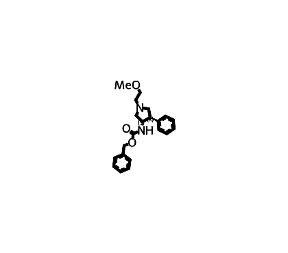 COCCN1C[C@@H](NC(=O)OCc2ccccc2)[C@H](c2ccccc2)C1